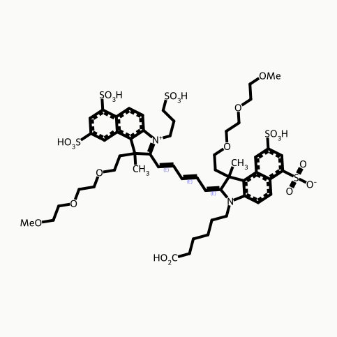 COCCOCCOCCC1(C)C(/C=C/C=C/C=C2/N(CCCCCC(=O)O)c3ccc4c(S(=O)(=O)[O-])cc(S(=O)(=O)O)cc4c3C2(C)CCOCCOCCOC)=[N+](CCCS(=O)(=O)O)c2ccc3c(S(=O)(=O)O)cc(S(=O)(=O)O)cc3c21